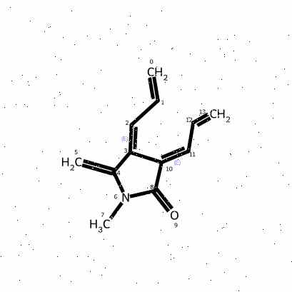 C=C/C=C1/C(=C)N(C)C(=O)/C1=C/C=C